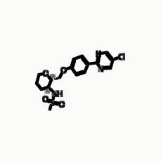 CS(=O)(=O)N[C@H]1CCCO[C@@H]1COc1ccc(-c2ncc(Cl)cn2)cc1